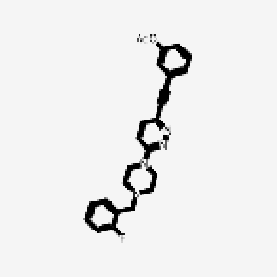 CC(=O)Oc1cccc(C#Cc2ccc(N3CCN(Cc4ccccc4F)CC3)nn2)c1